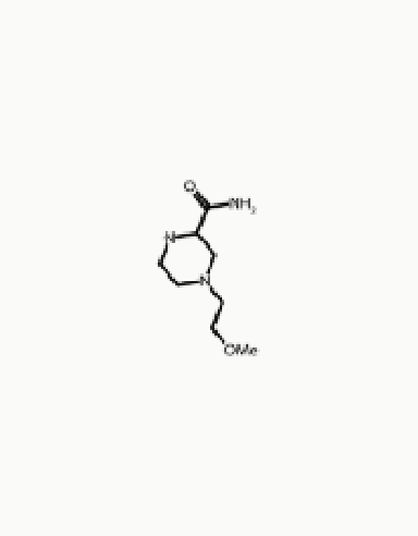 COCCN1CC[N]C(C(N)=O)C1